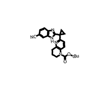 CC(C)(C)OC(=O)N1CCCc2nc(C3(c4nc5ccc(C#N)cc5[nH]4)CC3)ccc21